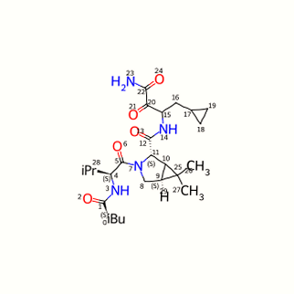 CC[C@H](C)C(=O)N[C@H](C(=O)N1C[C@H]2C([C@H]1C(=O)NC(CC1CC1)C(=O)C(N)=O)C2(C)C)C(C)C